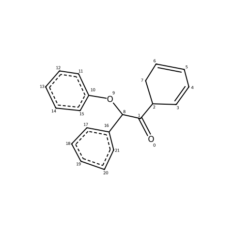 O=C(C1C=CC=CC1)C(Oc1ccccc1)c1ccccc1